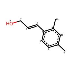 Cc1ccc(C=CCO)c(C)c1